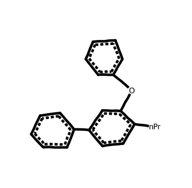 CCCc1ccc(-c2ccccc2)cc1Oc1ccccc1